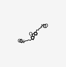 O=C1c2cc(CCCCCN3CCOCC3)ccc2-c2ccc(CCCCCN3CCOCC3)cc21